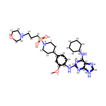 COc1cc(C2CCN(S(=O)(=O)CCCN3CCOCC3)CC2)ccc1Nc1nc(NC2CCCCC2)c2nc[nH]c2n1